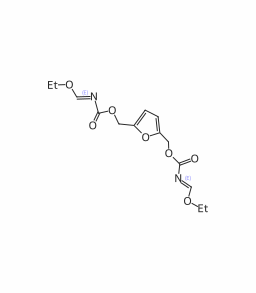 CCO/C=N/C(=O)OCc1ccc(COC(=O)/N=C/OCC)o1